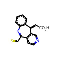 O=C(O)C=C1c2ccccc2N=C(C=S)c2ccncc21